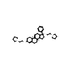 C[C@]12CCC(OCCN3CCCC3)C=C1CC[C@@H]1[C@H]2CC[C@]2(C)C(OCCN3CCCC3)(c3ccccc3)CC[C@@]12O